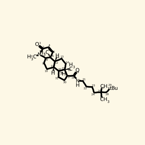 CN1C(=O)C=C[C@@]2(C)C1CC[C@@H]1[C@H]2CC[C@]2(C)C(C(=O)NCCCCC(C)(C)CC(C)(C)C)CC[C@@H]12